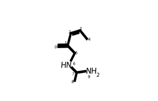 C=C(/C=C\C)CNC(C)N